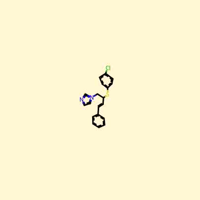 Clc1ccc(SC(/C=C/c2ccccc2)Cn2ccnc2)cc1